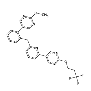 COc1ncc(-c2ccccc2Cc2cccc(-c3ccc(OCCC(F)(F)F)nc3)n2)cn1